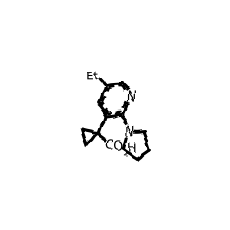 CCc1cnc(N2CCCC2)c(C2(C(=O)O)CC2)c1